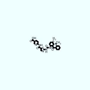 COc1ccccc1C(=O)c1cc(C)ccc1NC(=O)Nc1ncc(C(=O)Nc2ccc(C(=O)O)cn2)s1